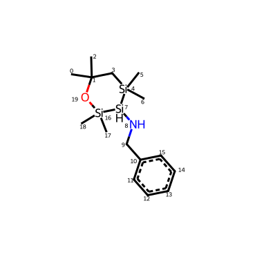 CC1(C)C[Si](C)(C)[SiH](NCc2ccccc2)[Si](C)(C)O1